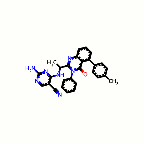 Cc1ccc(-c2cccc3nc(C(C)Nc4nc(N)ncc4C#N)n(-c4ccccc4)c(=O)c23)cc1